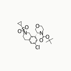 CC(C)(C)OC(=O)N1CCOC[C@H]1c1cc(Cl)cc2c1CN(S(=O)(=O)C1CC1)CC2